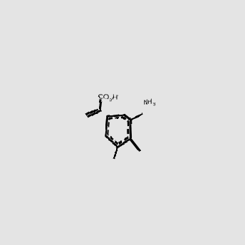 C=CC(=O)O.Cc1cccc(C)c1C.N